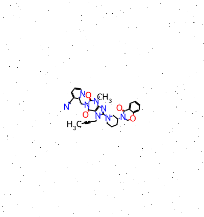 CC#CCn1c(N2CCC[C@@H](N3COc4ccccc4C3=O)C2)nc2c1c(=O)n(Cc1ncccc1C#N)c(=O)n2C